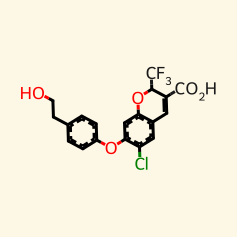 O=C(O)C1=Cc2cc(Cl)c(Oc3ccc(CCO)cc3)cc2OC1C(F)(F)F